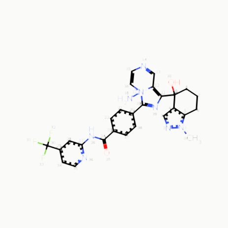 Cn1ncc2c1CCCC2(O)C1=C2C=NC=C[N+]2(N)C(c2ccc(C(=O)Nc3cc(C(F)(F)F)ccn3)cc2)=N1